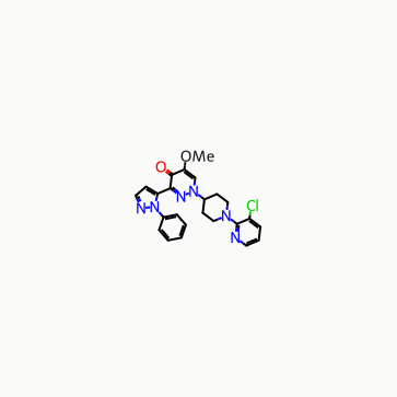 COc1cn(C2CCN(c3ncccc3Cl)CC2)nc(-c2ccnn2-c2ccccc2)c1=O